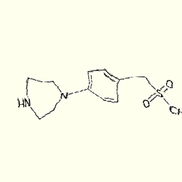 CS(=O)(=O)Cc1ccc(N2CCNCC2)cc1